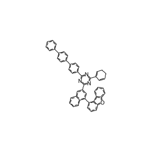 C1=CC(c2nc(-c3ccc(-c4ccc(-c5ccccc5)cc4)cc3)nc(-c3cc(-c4cccc5oc6ccccc6c45)c4ccccc4c3)n2)=CCC1